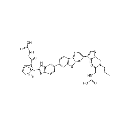 CCCN(Cc1ncc(-c2ccc3c(c2)sc2cc(-c4ccc5nc([C@@H]6[C@H]7CC=C(C7)N6C(=O)CNC(=O)O)[nH]c5c4)ccc23)[nH]1)C(=O)CNC(=O)O